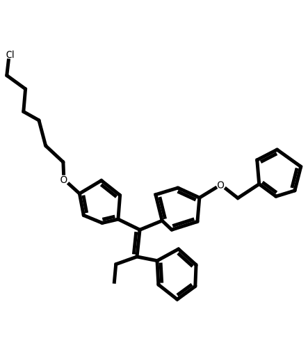 CC/C(=C(\c1ccc(OCCCCCCCl)cc1)c1ccc(OCc2ccccc2)cc1)c1ccccc1